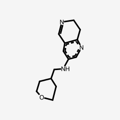 C1=NCCc2ncc(NCC3CCOCC3)cc21